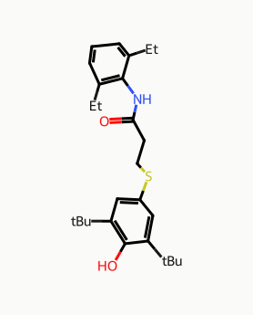 CCc1cccc(CC)c1NC(=O)CCSc1cc(C(C)(C)C)c(O)c(C(C)(C)C)c1